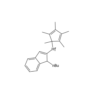 CCCCC1[C]([Hf][C]2(C)C(C)=C(C)C(C)=C2C)=Cc2ccccc21